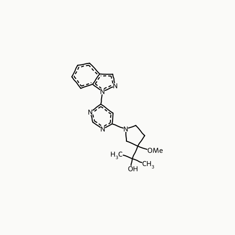 COC1(C(C)(C)O)CCN(c2cc(-n3ncc4ccccc43)ncn2)C1